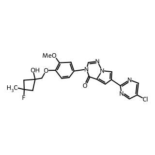 COc1cc(-n2cnn3cc(-c4ncc(Cl)cn4)cc3c2=O)ccc1OCC1(O)CC(C)(F)C1